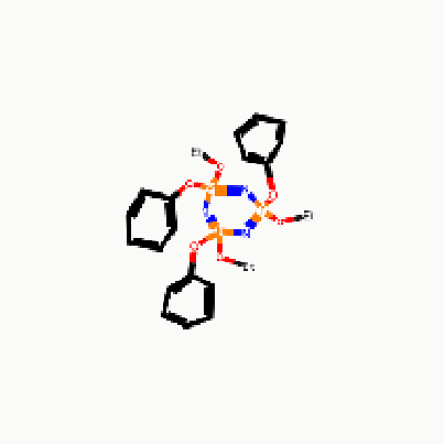 CCOP1(Oc2ccccc2)=NP(OCC)(Oc2ccccc2)=NP(OCC)(Oc2ccccc2)=N1